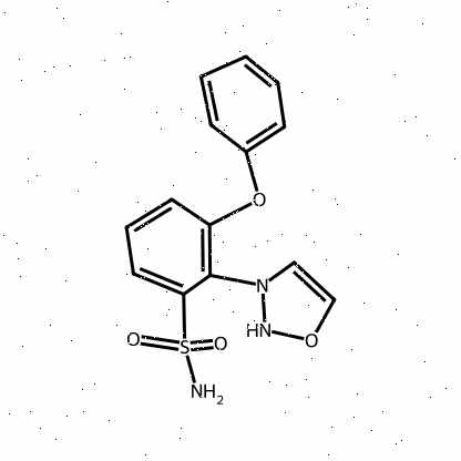 NS(=O)(=O)c1cccc(Oc2ccccc2)c1N1C=CON1